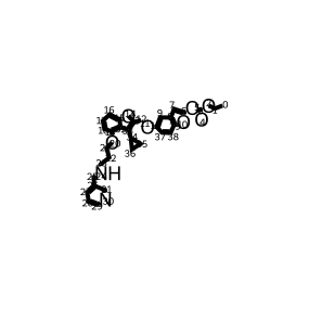 CCOC(=O)Oc1cc2cc(OCc3oc4cccc(OCCCNCc5cccnc5)c4c3C3CC3)ccc2o1